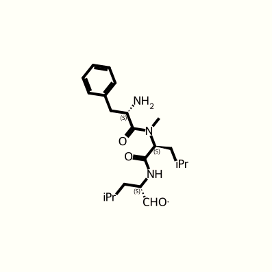 CC(C)C[C@@H]([C]=O)NC(=O)[C@H](CC(C)C)N(C)C(=O)[C@@H](N)Cc1ccccc1